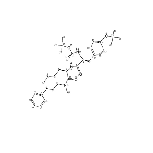 CSCC[C@@H](NC(=O)[C@H](Cc1ccc(OC(C)(C)C)cc1)NC(=O)OC(C)(C)C)C(=O)N(C)CCCc1ccccc1